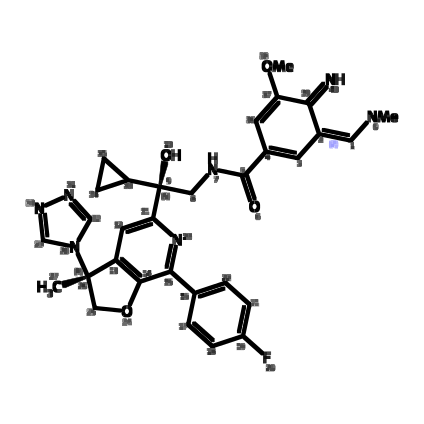 CN/C=C1/C=C(C(=O)NC[C@](O)(c2cc3c(c(-c4ccc(F)cc4)n2)OC[C@]3(C)n2cnnc2)C2CC2)C=C(OC)C1=N